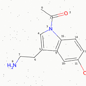 CC(=O)n1cc(CCN)c2cc(O)ccc21